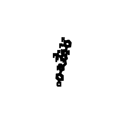 Fc1cccc(-c2nc3cn(Cc4cc(-c5ccc(Cl)cc5)no4)cc(C(F)(F)F)c-3n2)c1F